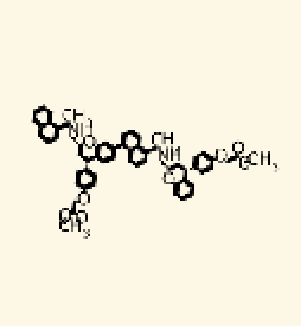 COC(=O)COc1ccc([C@H]2C[C@H](CN[C@H](C)c3cccc4c(-c5ccc6c(c5)O[C@@H](CN[C@H](C)c5cccc7ccccc57)C[C@H]6c5ccc(OCC(=O)OC)cc5)cccc34)Oc3ccccc32)cc1